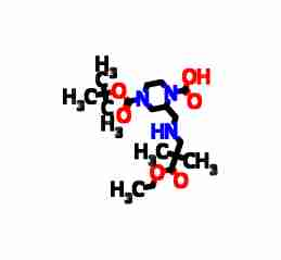 CCOC(=O)C(C)(C)CNCC1CN(C(=O)OC(C)(C)C)CCN1C(=O)O